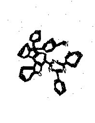 N#Cc1ccc(C2(c3ccccc3)c3ccccc3-c3c2cc(-c2nc(-c4ccccc4)nc(-c4ccccc4)n2)c2sc4ccccc4c32)cc1